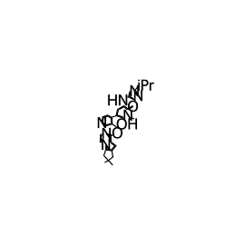 CC(C)n1cc(Nc2cc(-c3ccnc(-n4ccn5c6c(cc5c4=O)CC(C)(C)C6)c3CO)cn(C)c2=O)cn1